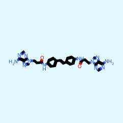 Nc1ncnc2c1ncn2CCC(=O)Nc1ccc(/C=C/c2ccc(NC(=O)CCn3cnc4c(N)ncnc43)cc2)cc1